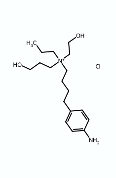 CCC[N+](CCO)(CCCO)CCCCc1ccc(N)cc1.[Cl-]